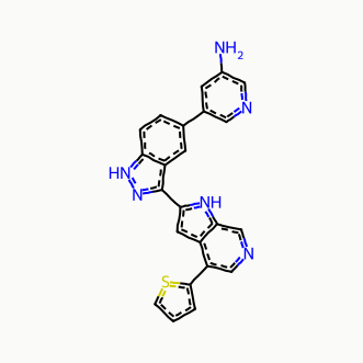 Nc1cncc(-c2ccc3[nH]nc(-c4cc5c(-c6cccs6)cncc5[nH]4)c3c2)c1